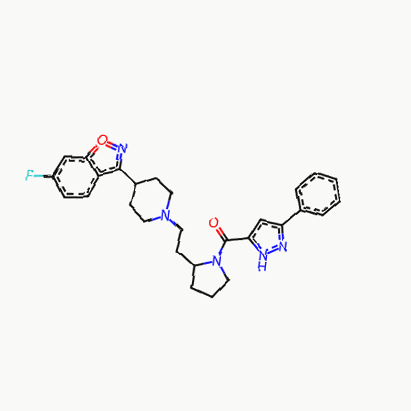 O=C(c1cc(-c2ccccc2)n[nH]1)N1CCCC1CCN1CCC(c2noc3cc(F)ccc23)CC1